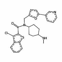 CNC1CCC(N(Cc2ccc(-c3cccnc3)o2)C(=O)c2sc3ccccc3c2Cl)CC1